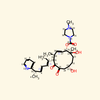 C/C(=C\C=C\[C@H](C)c1ccccn1)[C@H]1C(=O)C(=O)C[C@@H](O)CC[C@](C)(O)[C@@H](OC(=O)N2CCN(C)CC2)/C=C/[C@@H]1C